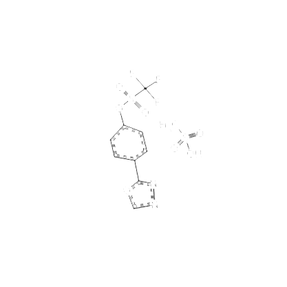 CS(=O)(=O)O.O=S(=O)(Oc1ccc(-c2nnco2)cc1)C(F)(F)F